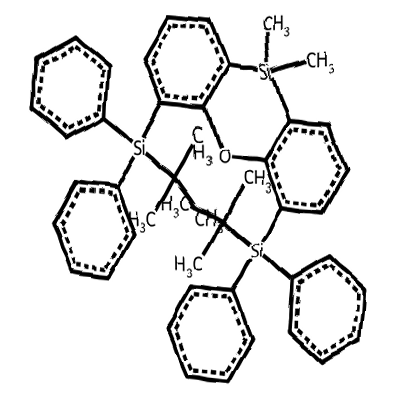 CC(C)(C)[Si](c1ccccc1)(c1ccccc1)c1cccc2c1Oc1c(cccc1[Si](c1ccccc1)(c1ccccc1)C(C)(C)C)[Si]2(C)C